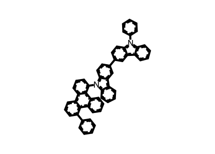 c1ccc(-c2cccc3c4cccc(-n5c6ccccc6c6cc(-c7ccc8c(c7)c7ccccc7n8-c7ccccc7)ccc65)c4c4ccccc4c23)cc1